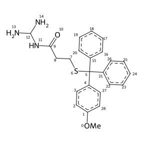 COc1ccc(C(SCCC(=O)NC(N)N)(c2ccccc2)c2ccccc2)cc1